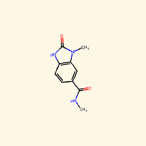 CNC(=O)c1ccc2[nH]c(=O)n(C)c2c1